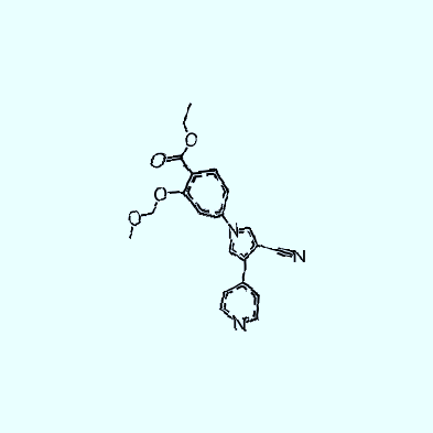 CCOC(=O)c1ccc(-n2cc(C#N)c(-c3ccncc3)c2)cc1OCOC